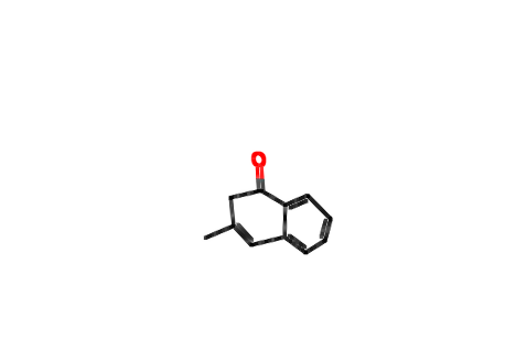 CC1=Cc2ccccc2C(=O)C1